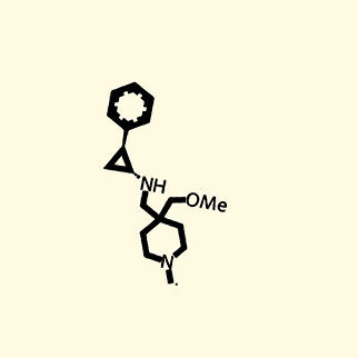 [CH2]N1CCC(CN[C@@H]2C[C@H]2c2ccccc2)(COC)CC1